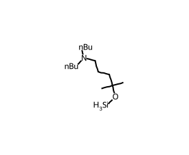 CCCCN(CCCC)CCCC(C)(C)O[SiH3]